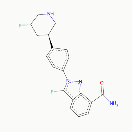 NC(=O)c1cccc2c(F)n(-c3ccc([C@@H]4CNC[C@@H](F)C4)cc3)nc12